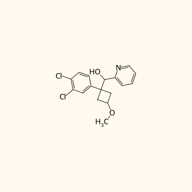 COC1CC(c2ccc(Cl)c(Cl)c2)(C(O)c2ccccn2)C1